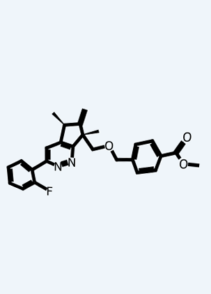 C=C1[C@H](C)c2cc(-c3ccccc3F)nnc2[C@@]1(C)COCc1ccc(C(=O)OC)cc1